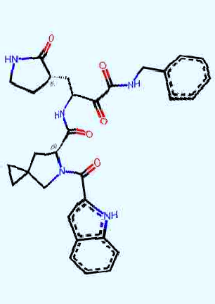 O=C(NCc1ccccc1)C(=O)C(C[C@@H]1CCNC1=O)NC(=O)[C@@H]1CC2(CC2)CN1C(=O)c1cc2ccccc2[nH]1